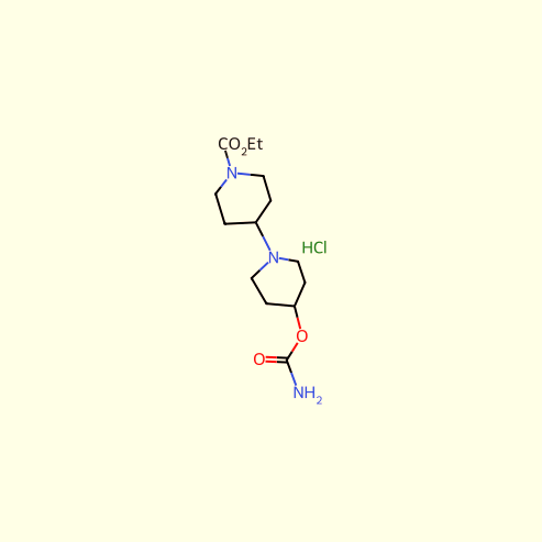 CCOC(=O)N1CCC(N2CCC(OC(N)=O)CC2)CC1.Cl